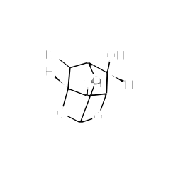 OC1C2OC3OC(C(O)[C@H]1O3)[C@@H]2O